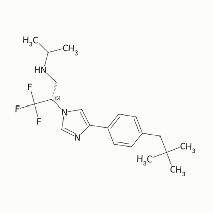 CC(C)NC[C@H](n1cnc(-c2ccc(CC(C)(C)C)cc2)c1)C(F)(F)F